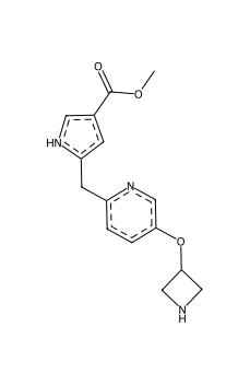 COC(=O)c1c[nH]c(Cc2ccc(OC3CNC3)cn2)c1